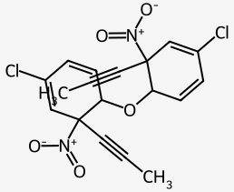 CC#CC1([N+](=O)[O-])C=C(Cl)C=CC1OC1C=CC(Cl)=CC1(C#CC)[N+](=O)[O-]